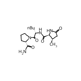 CCCC[C@H](NC(=O)[C@H]1NC(=O)C[C@H]1C)C(=O)N1CCC[C@H]1C(N)=O